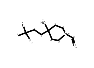 CC(F)(F)CCC1(O)CCN(C=O)CC1